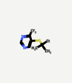 CCC(C)(C)Sc1cncnc1C(F)(F)F